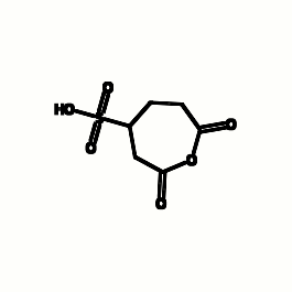 O=C1CCC(S(=O)(=O)O)CC(=O)O1